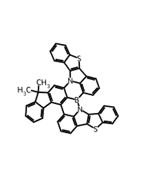 CC1(C)c2ccccc2-c2c1cc1c3c2-c2cccc4c5sc6ccccc6c5n(c24)B3c2cccc3c4sc5ccccc5c4n-1c23